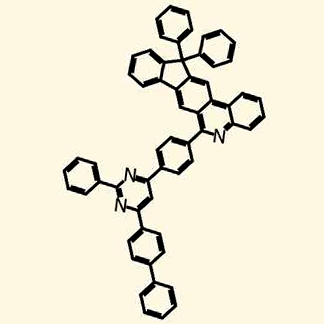 c1ccc(-c2ccc(-c3cc(-c4ccc(-c5nc6ccccc6c6cc7c(cc56)-c5ccccc5C7(c5ccccc5)c5ccccc5)cc4)nc(-c4ccccc4)n3)cc2)cc1